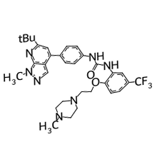 CN1CCN(CCOc2ccc(C(F)(F)F)cc2NC(=O)Nc2ccc(-c3cc(C(C)(C)C)nc4c3cnn4C)cc2)CC1